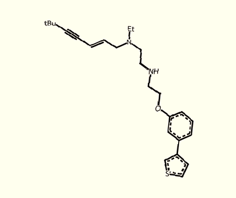 CCN(CC=CC#CC(C)(C)C)CCNCCOc1cccc(-c2ccsc2)c1